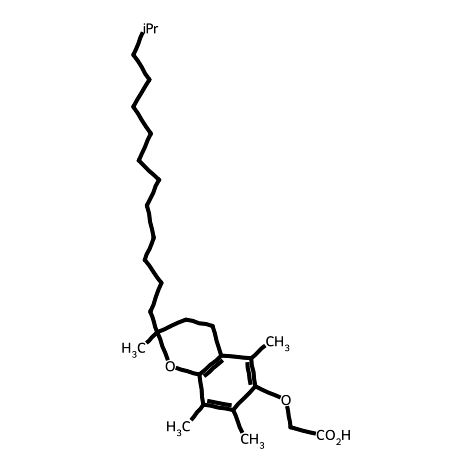 Cc1c(C)c2c(c(C)c1OCC(=O)O)CCC(C)(CCCCCCCCCCCC(C)C)O2